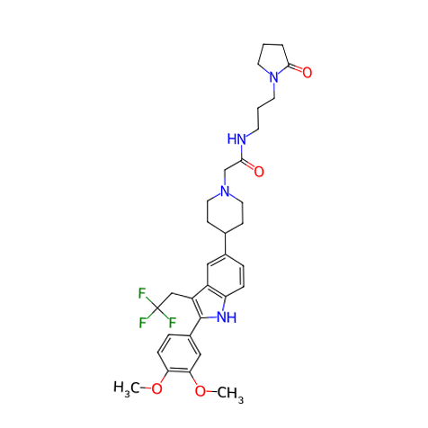 COc1ccc(-c2[nH]c3ccc(C4CCN(CC(=O)NCCCN5CCCC5=O)CC4)cc3c2CC(F)(F)F)cc1OC